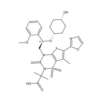 COc1ccccc1[C@H](CN1C(=O)N(C(C)(C)C(=O)O)S(=O)(=O)c2c1sc(-c1ncco1)c2C)O[C@H]1CC[C@@H](O)CC1